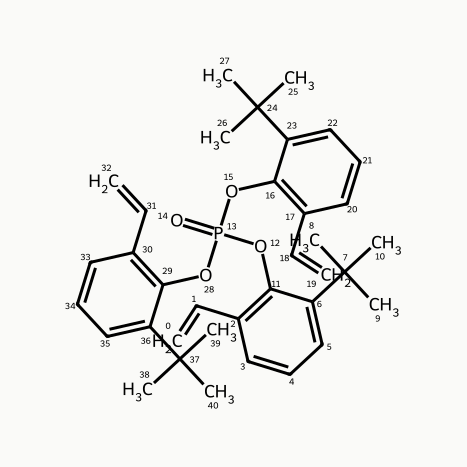 C=Cc1cccc(C(C)(C)C)c1OP(=O)(Oc1c(C=C)cccc1C(C)(C)C)Oc1c(C=C)cccc1C(C)(C)C